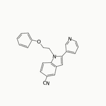 N#Cc1ccc2c(c1)cc(-c1cccnc1)n2CCOc1ccccc1